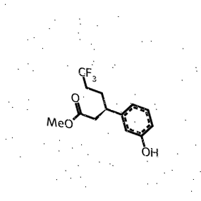 COC(=O)C[C@@H](CCC(F)(F)F)c1cccc(O)c1